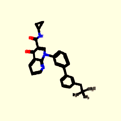 CC(C)(Cc1cccc(-c2cccc(-n3cc(C(=O)NC4CC4)c(=O)c4cccnc43)c2)c1)C(=O)O